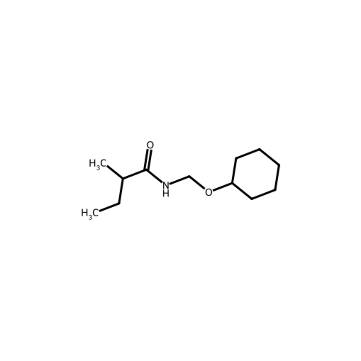 CCC(C)C(=O)NCOC1CCCCC1